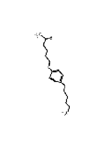 [CH2]CCCCCc1ccc(OCCCCC(C)Br)cc1